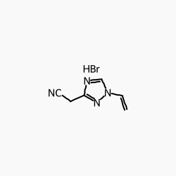 Br.C=Cn1cnc(CC#N)n1